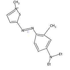 CCN(CC)c1ccc(/N=N/c2cc[n+](C)s2)c(C)c1